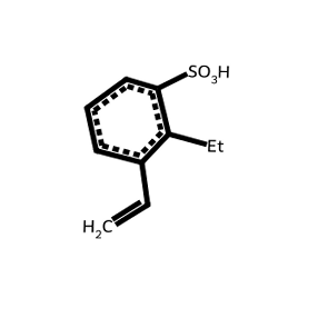 C=Cc1cccc(S(=O)(=O)O)c1CC